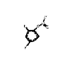 O=[N+]([O-])Oc1ccc(F)cc1F